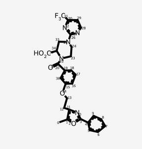 Cc1oc(-c2ccccc2)nc1CCOc1cccc(C(=O)N2CCN(c3nccc(C(F)(F)F)n3)CC2C(=O)O)c1